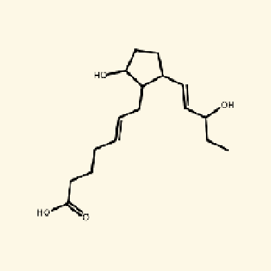 CCC(O)C=CC1CCC(O)C1CC=CCCCC(=O)O